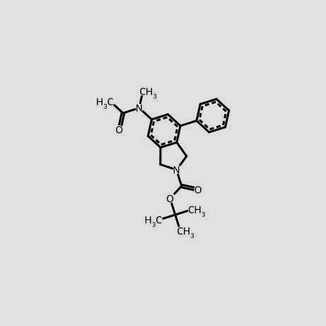 CC(=O)N(C)c1cc2c(c(-c3ccccc3)c1)CN(C(=O)OC(C)(C)C)C2